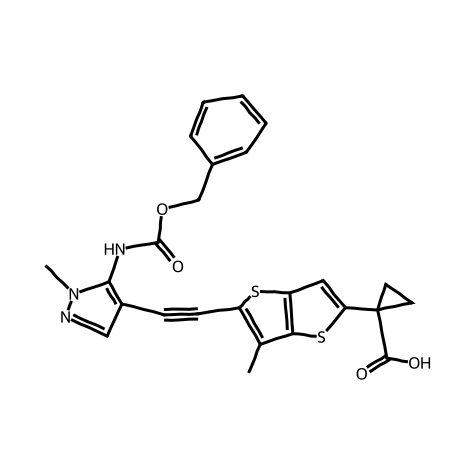 Cc1c(C#Cc2cnn(C)c2NC(=O)OCc2ccccc2)sc2cc(C3(C(=O)O)CC3)sc12